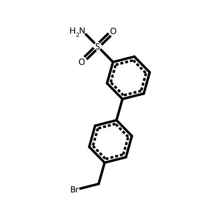 NS(=O)(=O)c1cccc(-c2ccc(CBr)cc2)c1